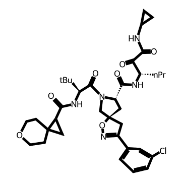 CCC[C@H](NC(=O)[C@@H]1C[C@]2(CC(c3cccc(Cl)c3)=NO2)CN1C(=O)[C@@H](NC(=O)C1CC12CCOCC2)C(C)(C)C)C(=O)C(=O)NC1CC1